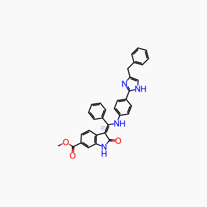 COC(=O)c1ccc2c(c1)NC(=O)/C2=C(\Nc1ccc(-c2nc(Cc3ccccc3)c[nH]2)cc1)c1ccccc1